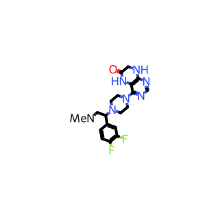 CNCC(c1ccc(F)c(F)c1)N1CCN(c2ncnc3c2NC(=O)CN3)CC1